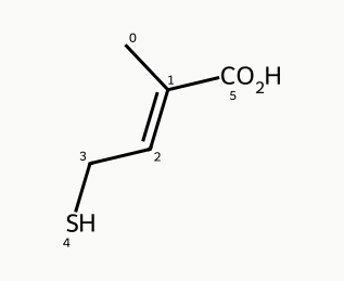 CC(=CCS)C(=O)O